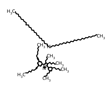 CCCCCCCC#Cc1cc(C#CCCCCCCC)cc(C2=C(CCCC)C(CCCCC)=C(c3cc(CCCCC)cc(CCCCC)c3)[N+]2=[N-])c1.CCCCCCCCCCCCCCCCCCCCCCCCCC[CH2][Ni][CH2]CCCCCCCCCCCCCCCCCCCCCCCCCC